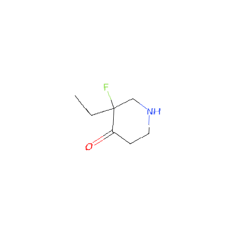 CCC1(F)CNCCC1=O